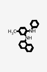 Cc1ccc(Nc2ccccc2)c(Nc2cccc3ccccc23)c1